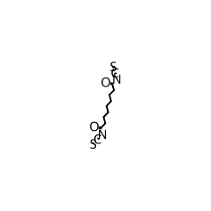 O=C(CCCCCCCC(=O)N=C=S)N=C=S